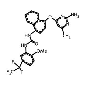 COc1ccc(C(F)(F)C(F)(F)F)cc1NC(=O)Nc1ccc(Oc2cc(C)nc(N)n2)c2ccccc12